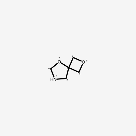 C1NCC2(COC2)O1